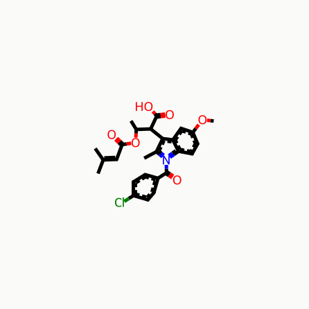 COc1ccc2c(c1)c(C(C(=O)O)C(C)OC(=O)C=C(C)C)c(C)n2C(=O)c1ccc(Cl)cc1